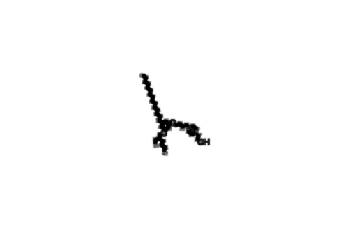 CCCCCCCCCCCCCCCc1cc(OCCCCN2CCN(CCO)CC2)cc(OCC(CC)CCCC)c1